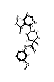 COc1cccc(NC(=O)C2(C)CCN(c3ncnc4c3C(C)CN4)CC2)c1